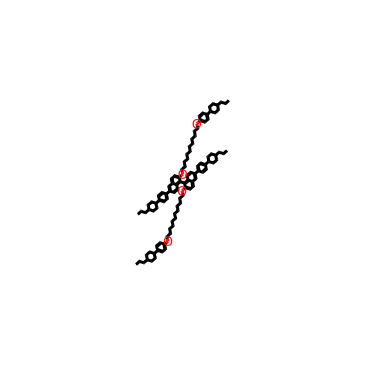 CCCC1CCC(c2ccc(OCCCCCCCCCCCCOc3ccc4cc(-c5ccc(C6CCC(CCC)CC6)cc5)ccc4c3-c3c(OCCCCCCCCCCCCOc4ccc(C5CCC(CCC)CC5)cc4)ccc4cc(-c5ccc(C6CCC(CCC)CC6)cc5)ccc34)cc2)CC1